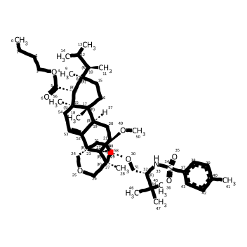 CCCCOC(=O)[C@@H]1[C@@](C)([C@H](C)C(C)C)CC[C@]2(C)[C@H]3CC[C@@H]4[C@@]5(COC[C@]4(C)[C@@H](OC[C@H](NS(=O)(=O)c4ccc(C)cc4)C(C)(C)C)[C@H](OC)C5)C3=CC[C@@]12C